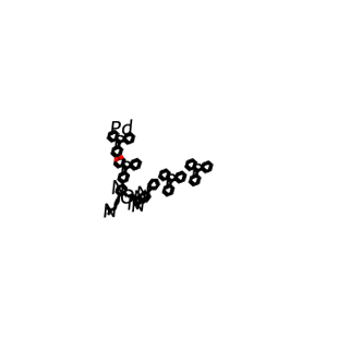 CN(C)CC#Cc1cnccc1OCc1nnc2ccc(-c3ccccc3)nn12.[Pd].c1ccc(P(c2ccccc2)c2ccccc2)cc1.c1ccc(P(c2ccccc2)c2ccccc2)cc1.c1ccc(P(c2ccccc2)c2ccccc2)cc1.c1ccc(P(c2ccccc2)c2ccccc2)cc1